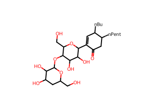 CCCCCC1CC(=O)C(C2OC(CO)C(OC3OC(CO)CC(O)C3O)C(O)C2O)=CC1CCCC